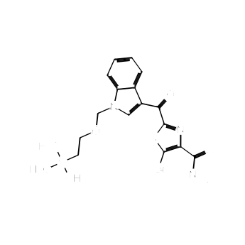 C[Si](C)(C)CCOCn1cc(C(=O)c2nc(C(N)=O)c(Br)s2)c2ccccc21